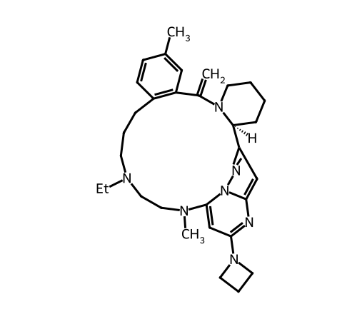 C=C1c2cc(C)ccc2CCCN(CC)CCN(C)c2cc(N3CCC3)nc3cc(nn23)[C@@H]2CCCCN12